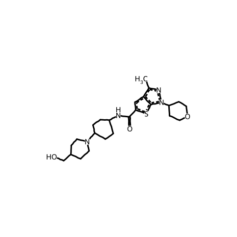 Cc1nn(C2CCOCC2)c2sc(C(=O)NC3CCC(N4CCC(CO)CC4)CC3)cc12